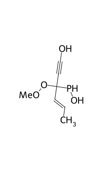 CC=CC(C#CO)(OOC)PO